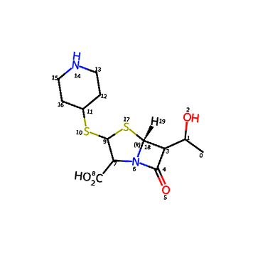 CC(O)C1C(=O)N2C(C(=O)O)C(SC3CCNCC3)S[C@H]12